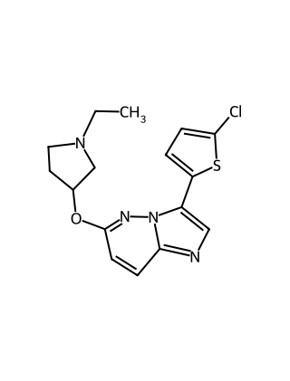 CCN1CCC(Oc2ccc3ncc(-c4ccc(Cl)s4)n3n2)C1